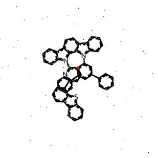 c1ccc(-c2cc(-c3ccccc3)cc(-n3c4ccccc4c4ccc5c6ccccc6n(-c6cccc(-c7cccc8c7sc7ccccc78)n6)c5c43)c2)cc1